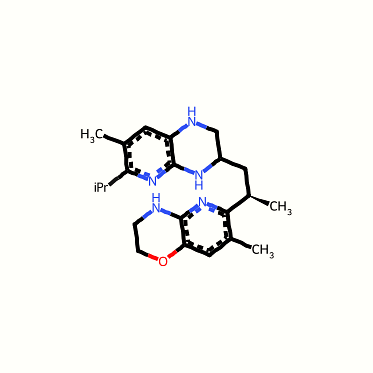 Cc1cc2c(nc1C(C)C)NC(C[C@@H](C)c1nc3c(cc1C)OCCN3)CN2